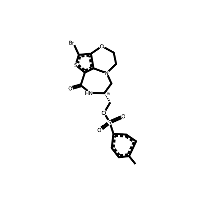 Cc1ccc(S(=O)(=O)OC[C@H]2CN3CCOc4c(Br)sc(c43)C(=O)N2)cc1